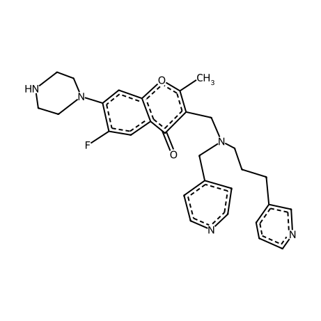 Cc1oc2cc(N3CCNCC3)c(F)cc2c(=O)c1CN(CCCc1cccnc1)Cc1ccncc1